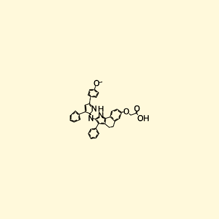 COc1ccc(C2=N/C(=N\c3[nH]c4c(c3-c3ccccc3)CCc3cc(OCC(=O)O)ccc3-4)C(c3ccccc3)=C2)cc1